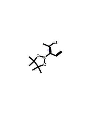 C=C/C(B1OC(C)(C)C(C)(C)O1)=C(/C)CC